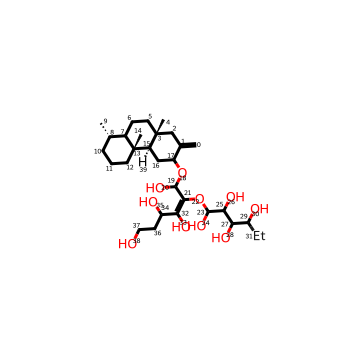 C=C1C[C@@]2(C)CCC3[C@@H](C)CCC[C@@]3(C)[C@@H]2CC1OC(O)/C(OC(O)C(O)C(O)C(O)CC)=C(/O)C(O)CCO